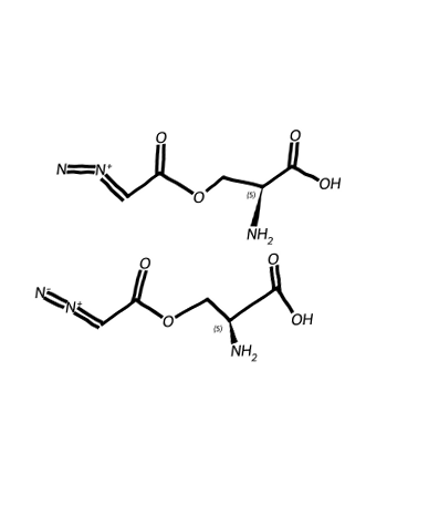 [N-]=[N+]=CC(=O)OC[C@H](N)C(=O)O.[N-]=[N+]=CC(=O)OC[C@H](N)C(=O)O